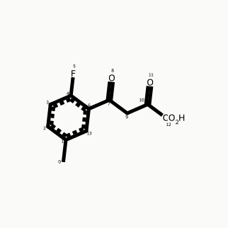 Cc1ccc(F)c(C(=O)CC(=O)C(=O)O)c1